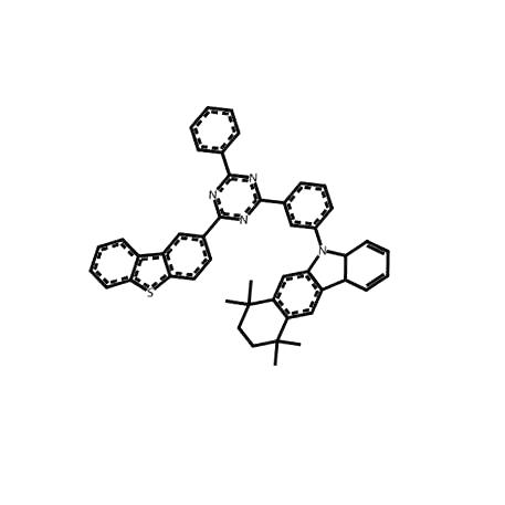 CC1(C)CCC(C)(C)c2cc3c(cc21)C1C=CC=CC1N3c1cccc(-c2nc(-c3ccccc3)nc(-c3ccc4sc5ccccc5c4c3)n2)c1